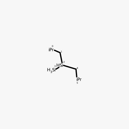 CC(C)C[SiH]([SiH3])CC(C)C